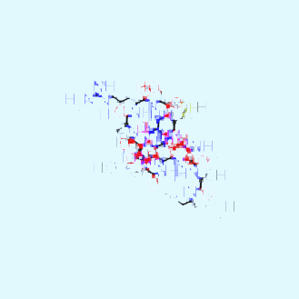 CC(C)C[C@H](NC(=O)[C@H](C)NC(=O)[C@H](CO)NC(=O)[C@H](CC(N)=O)NC(=O)[C@H](CC(=O)O)NC(=O)[C@H](C)NC(=O)[C@H](CCC(N)=O)NC(=O)[C@H](CS)NC(=O)[C@H](CO)NC(=O)[C@H](CCCNC(=N)N)NC(=O)[C@H](CC(C)C)NC(=O)[C@H](C)NC(=O)[C@@H](N)CCC(=O)O)C(=O)O